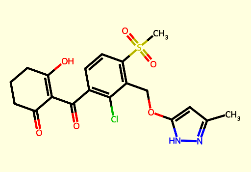 Cc1cc(OCc2c(S(C)(=O)=O)ccc(C(=O)C3=C(O)CCCC3=O)c2Cl)[nH]n1